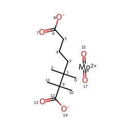 CC(C)(CCCC(=O)[O-])C(C)(C)C(=O)[O-].[O]=[Mo+2]=[O]